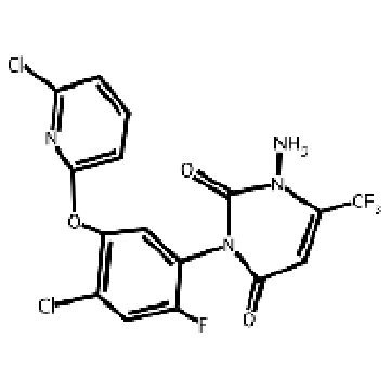 Nn1c(C(F)(F)F)cc(=O)n(-c2cc(Oc3cccc(Cl)n3)c(Cl)cc2F)c1=O